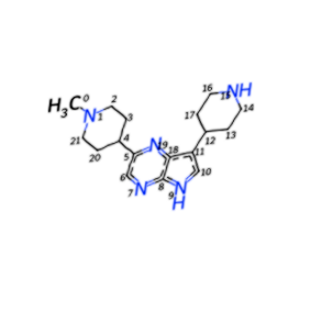 CN1CCC(c2cnc3[nH]cc(C4CCNCC4)c3n2)CC1